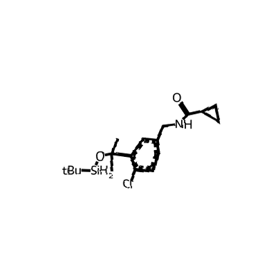 CC(C)(C)[SiH2]OC(C)(C)c1cc(CNC(=O)C2CC2)ccc1Cl